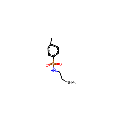 CC(=O)NCCNS(=O)(=O)c1ccc(C)cc1